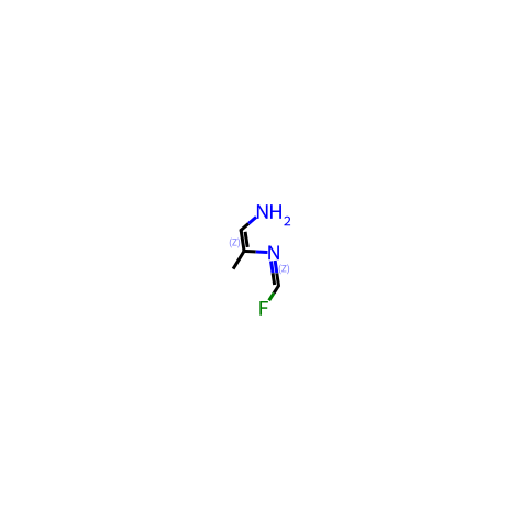 CC(=C/N)/N=C\F